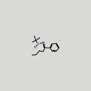 CCCC/C(=N\[S+]([O-])C(C)(C)C)c1ccccc1